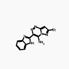 CCc1cc2nnc(-c3nc4ccccc4[nH]3)c(N)n2n1